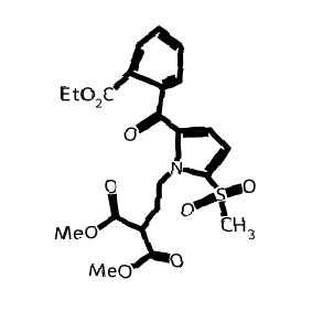 CCOC(=O)c1ccccc1C(=O)c1ccc(S(C)(=O)=O)n1CCC(C(=O)OC)C(=O)OC